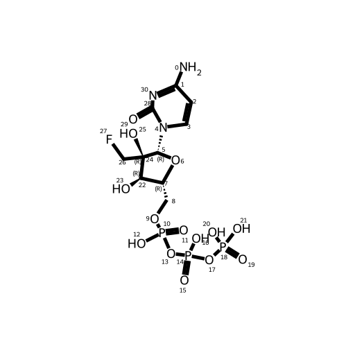 Nc1ccn([C@@H]2O[C@H](COP(=O)(O)OP(=O)(O)OP(=O)(O)O)[C@@H](O)[C@]2(O)CF)c(=O)n1